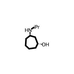 CC(C)N[C@@H]1CCCC[C@@H](O)C1